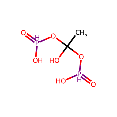 CC(O)(O[PH](=O)O)O[PH](=O)O